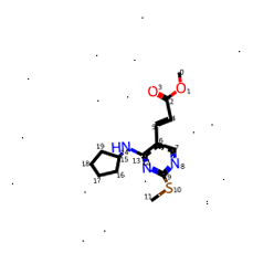 COC(=O)C=Cc1cnc(SC)nc1NC1CCCC1